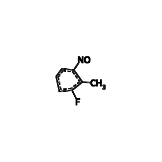 Cc1c(F)cccc1N=O